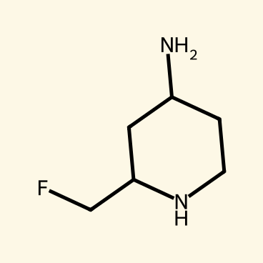 NC1CCNC(CF)C1